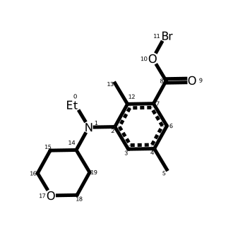 CCN(c1cc(C)cc(C(=O)OBr)c1C)C1CCOCC1